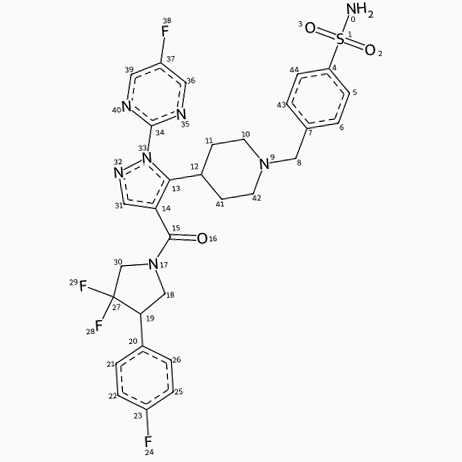 NS(=O)(=O)c1ccc(CN2CCC(c3c(C(=O)N4CC(c5ccc(F)cc5)C(F)(F)C4)cnn3-c3ncc(F)cn3)CC2)cc1